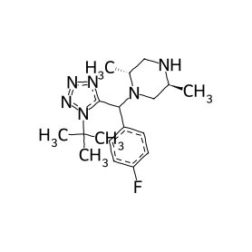 C[C@@H]1CN[C@@H](C)CN1C(c1ccc(F)cc1)c1nnnn1C(C)(C)C